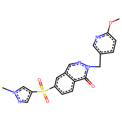 COc1ccc(Cn2ncc3cc(S(=O)(=O)c4cnn(C)c4)ccc3c2=O)cn1